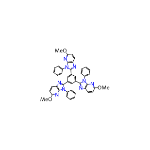 COc1ccc2nc(-c3cc(-c4nc5ccc(OC)nc5n4-c4ccccc4)cc(-c4nc5ccc(OC)nc5n4-c4ccccc4)c3)n(-c3ccccc3)c2n1